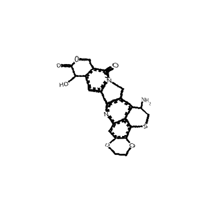 NC1CSc2c3c(cc4nc5c(c1c24)Cn1c-5cc2c(c1=O)COC(=O)C2O)OCCO3